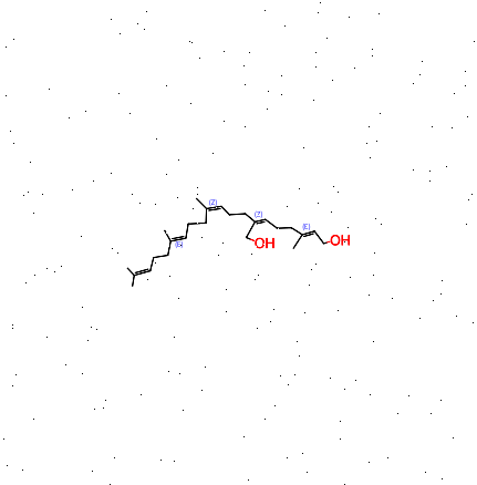 CC(C)=CCC/C(C)=C/CC/C(C)=C\CC/C(=C/CC/C(C)=C/CO)CO